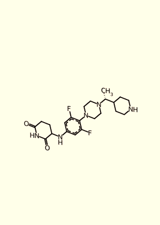 C[C@H](C1CCNCC1)N1CCN(c2c(F)cc(NC3CCC(=O)NC3=O)cc2F)CC1